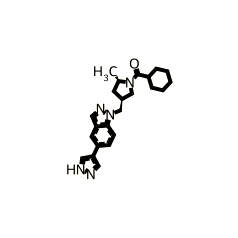 C[C@@H]1C[C@H](Cn2ncc3cc(-c4cn[nH]c4)ccc32)CN1C(=O)C1CCCCC1